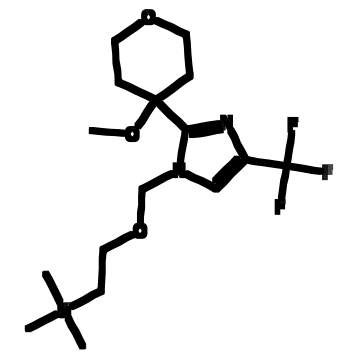 COC1(c2nc(C(F)(F)F)cn2COCC[Si](C)(C)C)CCOCC1